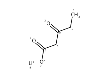 CCC(=O)CC(=O)[O-].[Li+]